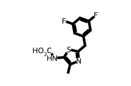 Cc1nc(Cc2cc(F)cc(F)c2)sc1NC(=O)O